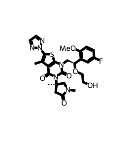 COc1ccc(F)cc1[C@H](Cn1c(=O)n([C@]2(C)CC(=O)N(C)C2)c(=O)c2c(C)c(-n3nccn3)sc21)OCCO